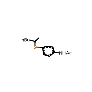 CCCCC(C)Sc1ccc(NC(C)=O)cc1